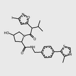 Cc1ncsc1-c1ccc(CNC(=O)C2CC(O)CN2C(=O)C(c2cc(I)no2)C(C)C)cc1